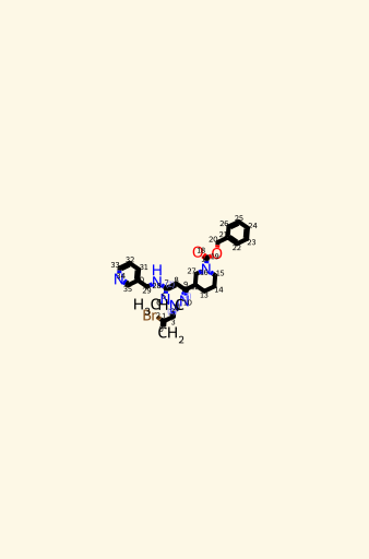 C=C(Br)/C=N\N(C)/C(=C\C(=N/C)C1CCCN(C(=O)OCc2ccccc2)C1)NCc1cccnc1